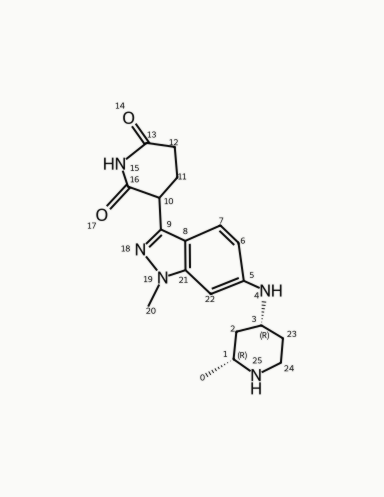 C[C@@H]1C[C@H](Nc2ccc3c(C4CCC(=O)NC4=O)nn(C)c3c2)CCN1